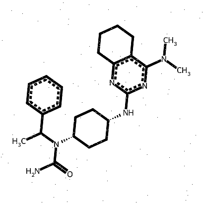 CC(c1ccccc1)N(C(N)=O)[C@H]1CC[C@@H](Nc2nc3c(c(N(C)C)n2)CCCC3)CC1